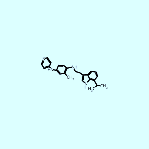 Cc1cc(Nc2ccncc2)ccc1NCCc1c[nH]c2c(C(C)C)cccc12